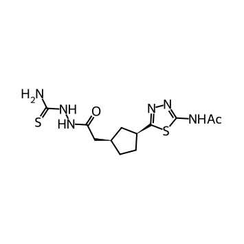 CC(=O)Nc1nnc([C@H]2CC[C@@H](CC(=O)NNC(N)=S)C2)s1